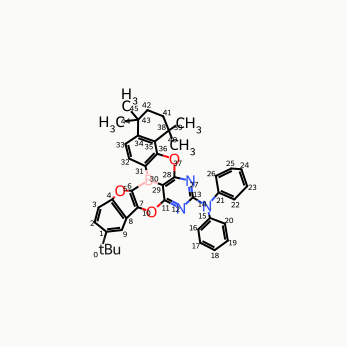 CC(C)(C)c1ccc2oc3c(c2c1)Oc1nc(N(c2ccccc2)c2ccccc2)nc2c1B3c1ccc3c(c1O2)C(C)(C)CCC3(C)C